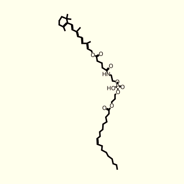 CCCCCCCC/C=C\CCCCCCCC(=O)OCCCOP(=O)(O)OCCNC(=O)CCCC(=O)OC/C=C(C)/C=C/C=C(C)/C=C/C1=C(C)CCCC1(C)C